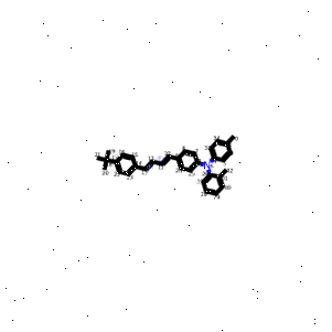 Cc1ccc(N(c2ccc(/C=C/C=C/c3ccc(C(C)(C)C)cc3)cc2)c2ccccc2C)cc1